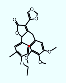 CCOc1ccc(C2OC(=O)C(C3=COCO3)=C2Cc2cc(OC)c(OC)c(OC)c2)cc1C